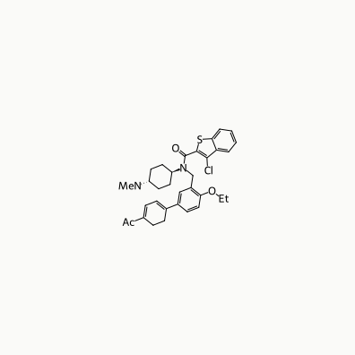 CCOc1ccc(C2=CC=C(C(C)=O)CC2)cc1CN(C(=O)c1sc2ccccc2c1Cl)[C@H]1CC[C@H](NC)CC1